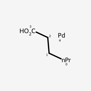 CCCCCC(=O)O.[Pd]